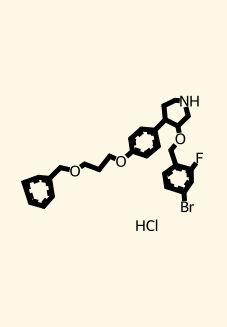 Cl.Fc1cc(Br)ccc1COC1CNCCC1c1ccc(OCCCOCc2ccccc2)cc1